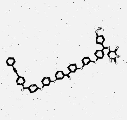 COc1ccc(C(=Nc2c[nH]c(=O)[nH]c2=O)c2ccc(Oc3cccc(Oc4cccc(C(=O)c5cccc(Oc6cccc(Oc7ccc(C(=O)c8ccc(C#Cc9ccccc9)cc8)cc7)c6)c5)c4)c3)cc2)cc1